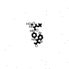 CC(=O)c1cnc2ccc(Br)cc2c1NC1CCC(NC(=O)C(NC(=O)O)C(C)CC(C)(C)C)CC1